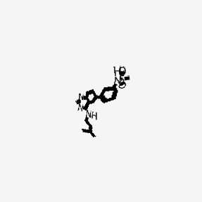 CC(C)CCNc1ncnc2ccc(-c3cccc(NS(C)(=O)=O)c3)cc12